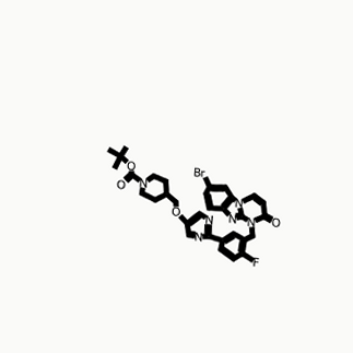 CC(C)(C)OC(=O)N1CCC(COc2cnc(-c3ccc(F)c(Cn4c(=O)ccn5c6cc(Br)ccc6nc45)c3)nc2)CC1